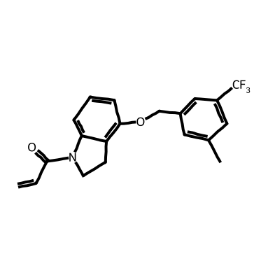 C=CC(=O)N1CCc2c(OCc3cc(C)cc(C(F)(F)F)c3)cccc21